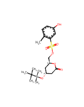 Cc1ccc(O)cc1S(=O)(=O)OC[C@@H]1C[C@@H](O[Si](C)(C)C(C)(C)C)CC(=O)O1